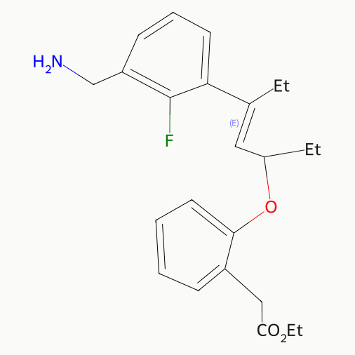 CCOC(=O)Cc1ccccc1OC(/C=C(\CC)c1cccc(CN)c1F)CC